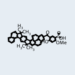 COc1cc(O)c(C(=O)c2cc3ccc4cc5c(c6ccc(c2)c3c46)-c2cc3c(cc2C5(C)C)-c2c(ccc4ccccc24)C3(C)C)cc1S(=O)O